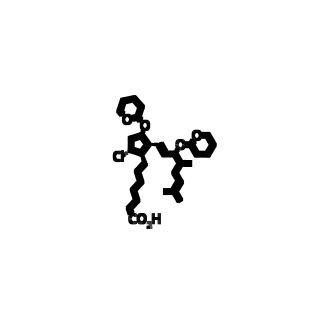 CC(C)=CCC(C)[C@@H](C=C[C@@H]1[C@@H](CCCCCCC(=O)O)[C@H](Cl)C[C@H]1OC1CCCCO1)OC1CCCCO1